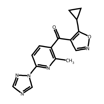 Cc1nc(-n2cncn2)ccc1C(=O)c1cnoc1C1CC1